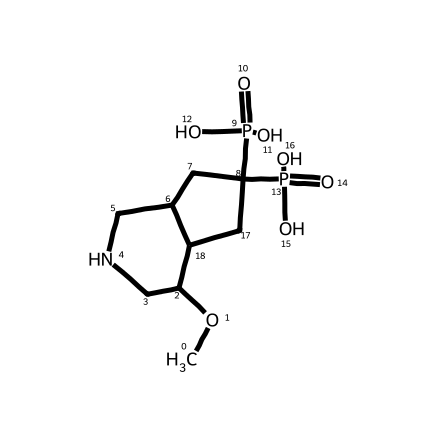 COC1CNCC2CC(P(=O)(O)O)(P(=O)(O)O)CC21